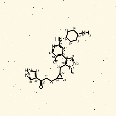 Cn1ncc(-c2nc(N[C@H]3CC[C@H](N)CC3)ncc2Cl)c1CC1CC1CCC(=O)c1cn[nH]c1